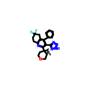 CC1(c2nc3c(c(-c4ccccc4)c2-c2nn[nH]n2)CC(F)(F)CC3)CCOCC1